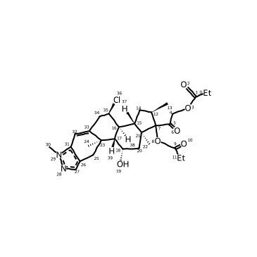 CCC(=O)OCC(=O)C1(OC(=O)CC)[C@H](C)C[C@H]2[C@H]3[C@H]([C@@H](O)C[C@@]21C)[C@@]1(C)Cc2cnn(C)c2C=C1C[C@H]3Cl